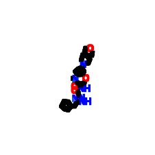 CN1C(=O)[C@@H](NC(=O)c2n[nH]c(Cc3ccccc3)n2)COc2cc(N3CCC4(CCOCC4)CC3)ccc21